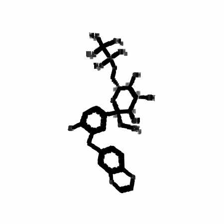 CO[C@@]1(c2ccc(Cl)c(Cc3ccc4c(c3)OC=CO4)c2)O[C@H](CO[Si](C)(C)C(C)(C)C)[C@@H](O)[C@H](O)[C@H]1O